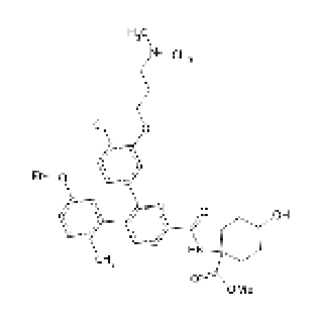 CCOc1ccc(C)c(-c2ccc(C(=O)NC3(C(=O)OC)CCC(O)CC3)nc2-c2ccc(Cl)c(OCCCN(C)C)c2)c1